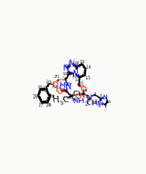 CN(Cc1ncc[nH]1)C(=O)OCc1cccc2nnc([C@@H](COCc3ccccc3)NC(=O)C(C)(C)N)n12